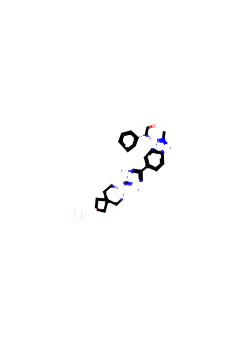 OC1CC2(CCN(c3ncc(-c4ccc5nc6n(c5c4)[C@@H](c4ccccc4)COC6)cn3)CC2)C1